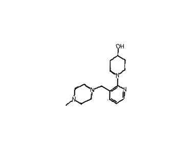 CN1CCN(Cc2[c]ccnc2N2CCC(O)CC2)CC1